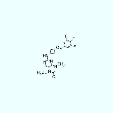 CCN1C(=O)CN(C)c2nc(N[C@H]3C[C@H](OCc4cc(F)c(F)c(F)c4)C3)ncc21